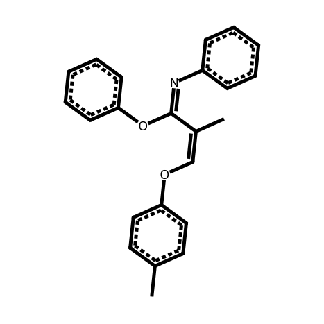 CC(=COc1ccc(C)cc1)C(=Nc1ccccc1)Oc1ccccc1